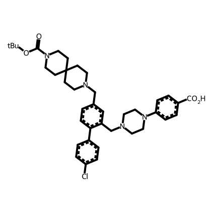 CC(C)(C)OC(=O)N1CCC2(CCN(Cc3ccc(-c4ccc(Cl)cc4)c(CN4CCN(c5ccc(C(=O)O)cc5)CC4)c3)CC2)CC1